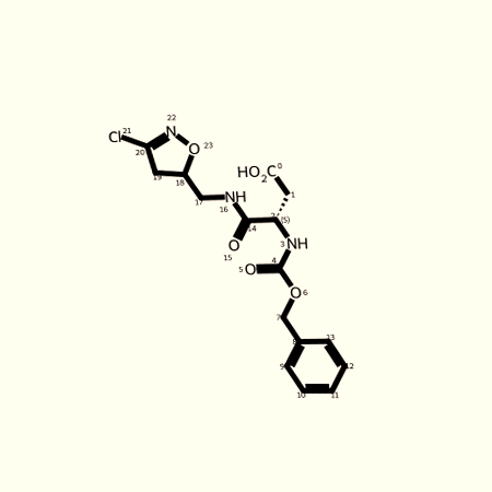 O=C(O)C[C@H](NC(=O)OCc1ccccc1)C(=O)NCC1CC(Cl)=NO1